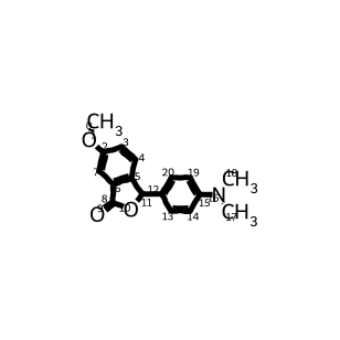 COc1ccc2c(c1)C(=O)OC2c1ccc(N(C)C)cc1